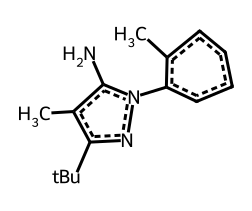 Cc1ccccc1-n1nc(C(C)(C)C)c(C)c1N